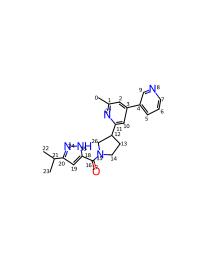 Cc1cc(-c2cccnc2)cc(C2CCN(C(=O)c3cc(C(C)C)n[nH]3)C2)n1